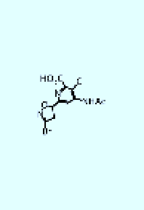 CC(=O)Nc1cc(C2CC(Br)=NO2)nc(C(=O)O)c1Cl